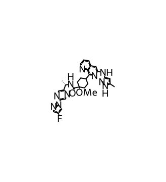 COC1(C(=O)N[C@@H](C)c2cnc(-n3cc(F)cn3)cn2)CCC(c2nc(Nc3cc(C)[nH]n3)cc3cccnc23)CC1